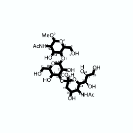 COC1OC(CO)C(OC2OC(CO)C(O)C(OC3(C(=O)O)CC(O)C(NC(C)=O)C([C@H](O)[C@H](O)CO)O3)C2O)C(O)C1NC(C)=O